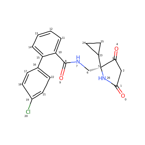 O=C1CC(=O)[C@](CNC(=O)c2ccccc2-c2ccc(Cl)cc2)(C2CC2)N1